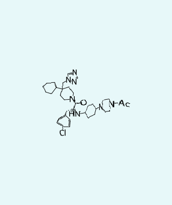 CC(=O)N1CCN(C2CCC(N[C@H](Cc3ccc(Cl)cc3)C(=O)N3CCC(Cn4cncn4)(C4CCCCC4)CC3)CC2)CC1